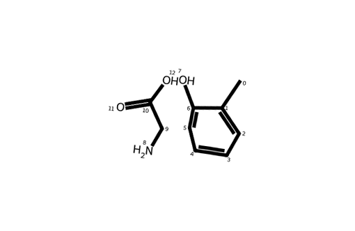 Cc1ccccc1O.NCC(=O)O